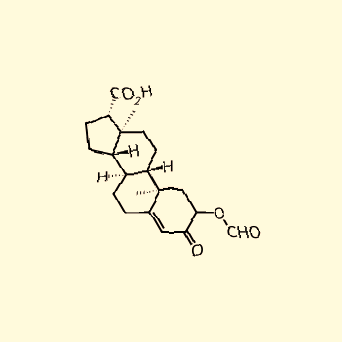 C[C@]12CC[C@H]3[C@@H](CCC4=CC(=O)C(OC=O)C[C@@]43C)[C@@H]1CC[C@@H]2C(=O)O